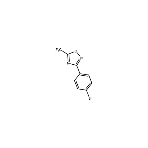 FC(F)(F)c1nc(-c2ccc(Br)cc2)no1